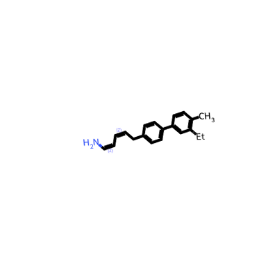 CCc1cc(-c2ccc(C/C=C\C=C/N)cc2)ccc1C